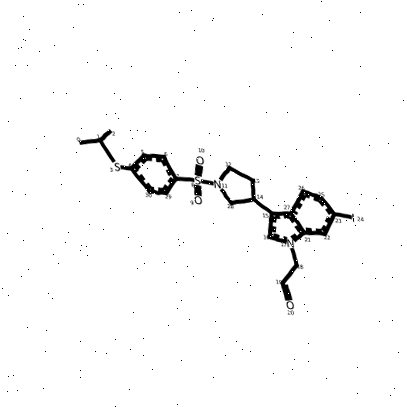 CC(C)Sc1ccc(S(=O)(=O)N2CCC(c3cn(CC=O)c4cc(I)ccc34)C2)cc1